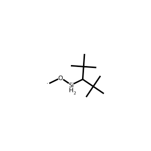 [CH2]O[SiH2]C(C(C)(C)C)C(C)(C)C